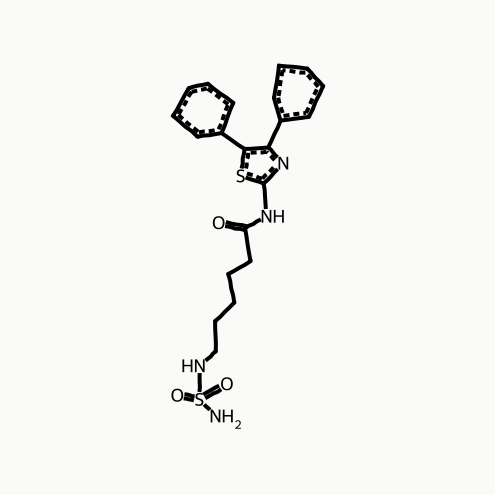 NS(=O)(=O)NCCCCCC(=O)Nc1nc(-c2ccccc2)c(-c2ccccc2)s1